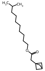 CC(C)CCCCCCCCOC(=O)CC12CC(C1)C2